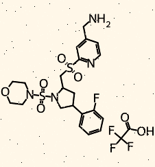 NCc1ccnc(S(=O)(=O)CC2CC(c3ccccc3F)CN2S(=O)(=O)N2CCOCC2)c1.O=C(O)C(F)(F)F